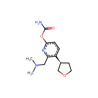 CN(C)Cc1nc(OC(N)=O)ccc1[C@H]1CCOC1